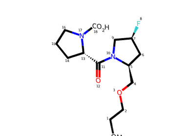 COCCOC[C@@H]1C[C@H](F)CN1C(=O)[C@@H]1CCCN1C(=O)O